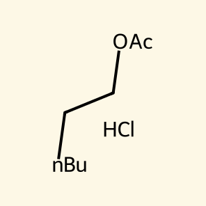 CCCCCCOC(C)=O.Cl